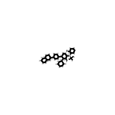 CC(C)(C)N(c1ccccc1F)c1ccc(-c2ccc(-c3ccc4ccccc4c3)cc2)c(-c2ccccc2)c1F